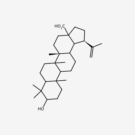 C=C(C)[C@@H]1CCC2(C(=O)O)CC[C@]3(C)C(CCC4C5(C)CCC(O)C(C)(C)C5CCC43C)C12